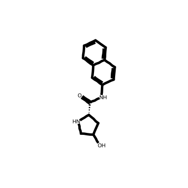 O=C(Nc1ccc2ccccc2c1)[C@@H]1CC(O)CN1